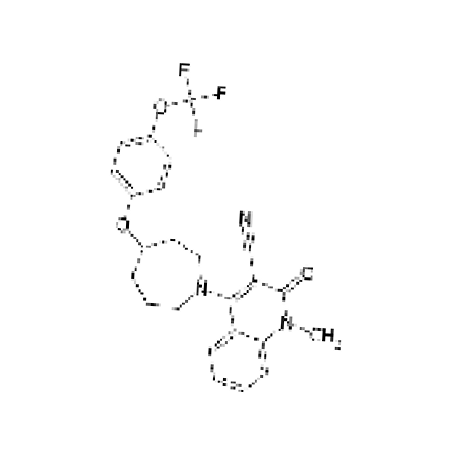 Cn1c(=O)c(C#N)c(N2CCCC(Oc3ccc(OC(F)(F)F)cc3)CC2)c2ccccc21